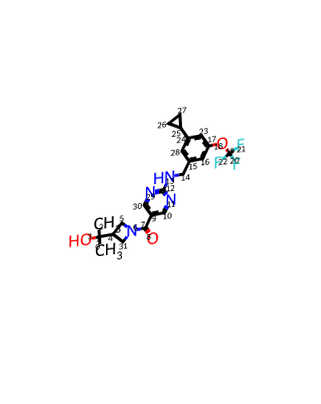 CC(C)(O)C1CN(C(=O)c2cnc(NCc3cc(OC(F)(F)F)cc(C4CC4)c3)nc2)C1